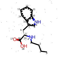 CCCCN[C@@H](Cc1c[nH]c2ccccc12)C(=O)O